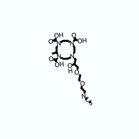 CC1CN(C(=O)O)CCN(C(=O)O)CCN(CC(O)COCCOCCN=C=S)CCN1C(=O)O